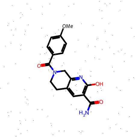 COc1ccc(C(=O)N2CCc3cc(C(N)=O)c(O)nc3C2)cc1